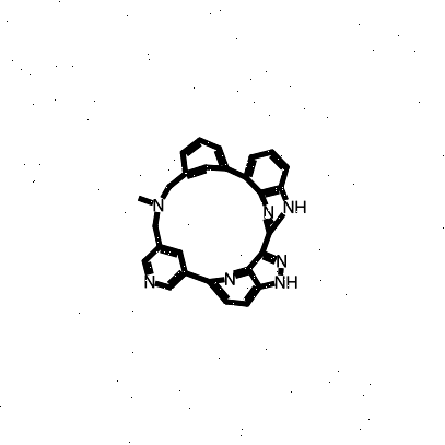 CN1Cc2cncc(c2)-c2ccc3[nH]nc(c3n2)-c2nc3c(cccc3[nH]2)-c2cccc(c2)C1